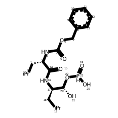 CC(C)C[C@H](NC(=O)OCc1ccccc1)C(=O)N[C@H](CC(C)C)[C@@H](O)O[PH](=O)O